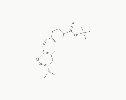 CN(C)C(=O)SC1=C(Cl)C=CC2=C(C1)CC(C(=O)OC(C)(C)C)CC2